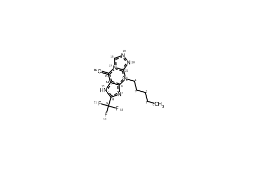 CCCCCn1c2nc(C(F)(F)F)[nH]c2c(=O)n2cnnc12